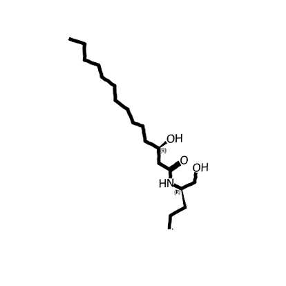 [CH2]CC[C@H](CO)NC(=O)C[C@H](O)CCCCCCCCCCC